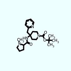 CN1CCCC1C(=O)NC1(Cc2ccccn2)CCN(C(=O)OC(C)(C)C)CC1